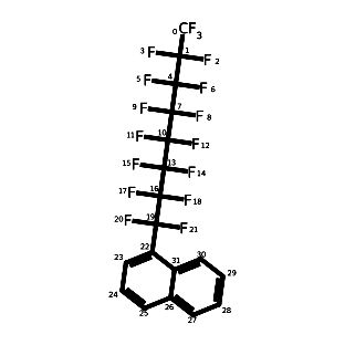 FC(F)(F)C(F)(F)C(F)(F)C(F)(F)C(F)(F)C(F)(F)C(F)(F)C(F)(F)c1cccc2ccccc12